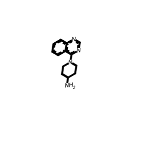 NC1CCN(c2ncnc3ccccc23)CC1